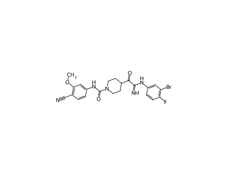 COc1cc(NC(=O)N2CCC(C(=O)C(=N)Nc3ccc(F)c(Br)c3)CC2)ccc1C#N